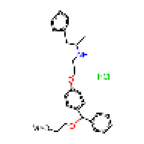 COCCOC(c1ccccc1)c1ccc(OCCNC(C)Cc2ccccc2)cc1.Cl